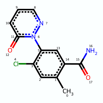 Cc1cc(Cl)c(-n2ncccc2=O)cc1C(N)=O